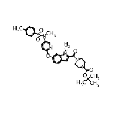 Cc1ccc(S(=O)(=O)N(C)c2ccc(Oc3ccc4cc(C(=O)N5CCN(C(=O)OC(C)(C)C)CC5)n(C)c4c3)nc2)cc1